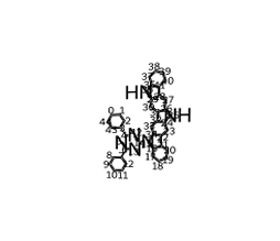 c1ccc(-c2nc(-c3ccccc3)nc(-n3c4ccccc4c4cc5[nH]c6cc7c(cc6c5cc43)[nH]c3ccccc37)n2)cc1